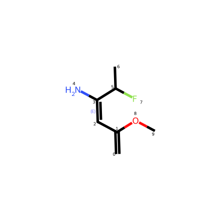 C=C(/C=C(/N)C(C)F)OC